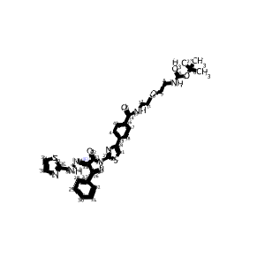 CC(C)(C)OC(=O)NCCOCCNC(=O)c1ccc(-c2csc(N3N=C(c4ccccc4)/C(=N\Nc4nccs4)C3=O)n2)cc1